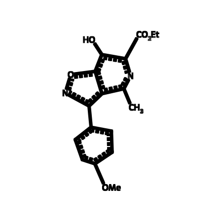 CCOC(=O)c1nc(C)c2c(-c3ccc(OC)cc3)noc2c1O